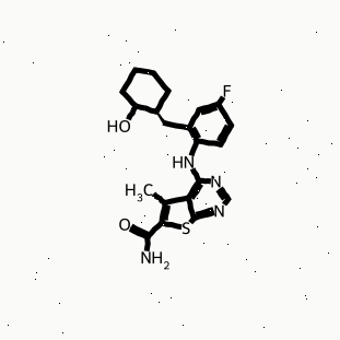 Cc1c(C(N)=O)sc2ncnc(Nc3ccc(F)cc3C[C@@H]3CCCCC3O)c12